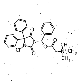 C[N+](C)(C)CC(=O)OC(c1ccccc1)N1C(=O)N(Cl)C(c2ccccc2)(c2ccccc2)C1=O